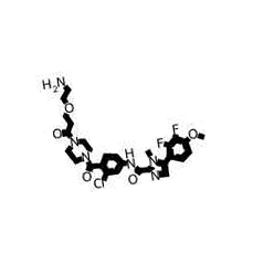 COc1ccc(-c2cnc(C(=O)Nc3ccc(C(=O)N4CCN(C(=O)CCOCCN)CC4)c(Cl)c3)n2C)c(F)c1F